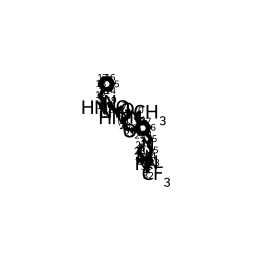 CN1C(=O)[C@H](NC(=O)c2n[nH]c(Cc3ccccc3)n2)COc2cc(CN3CCn4nc(C(F)(F)F)nc4C3)ccc21